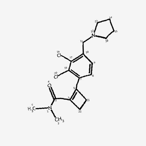 CN(C)C(=O)C1=C(c2ccc(CN3CCCC3)c(Cl)c2Cl)CC1